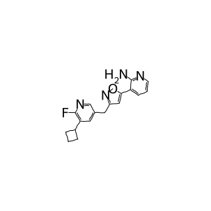 Nc1ncccc1-c1cc(Cc2cnc(F)c(C3CCC3)c2)no1